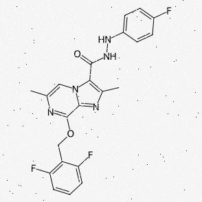 Cc1cn2c(C(=O)NNc3ccc(F)cc3)c(C)nc2c(OCc2c(F)cccc2F)n1